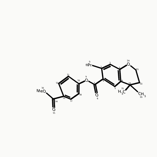 CCCc1cc2c(cc1C(=O)Oc1ccc(C(=O)OC)cc1)C(C)(C)CCO2